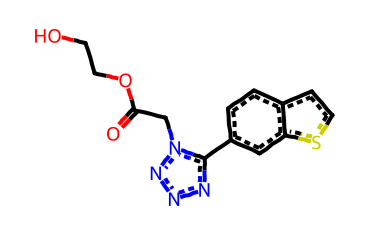 O=C(Cn1nnnc1-c1ccc2ccsc2c1)OCCO